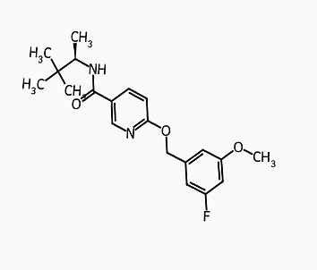 COc1cc(F)cc(COc2ccc(C(=O)N[C@H](C)C(C)(C)C)cn2)c1